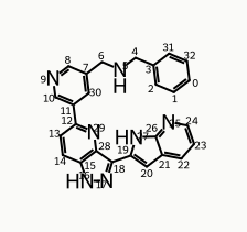 c1ccc(CNCc2cncc(-c3ccc4[nH]nc(-c5cc6cccnc6[nH]5)c4n3)c2)cc1